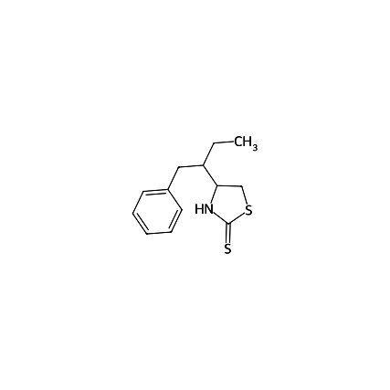 CCC(Cc1ccccc1)C1CSC(=S)N1